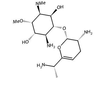 CN[C@H]1[C@@H](O)[C@H](O[C@H]2OC([C@H](C)N)=CC[C@H]2N)[C@@H](N)[C@H](O)[C@@H]1OC